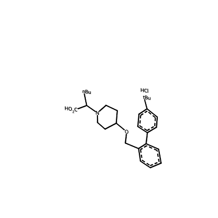 CCCCC(C(=O)O)N1CCC(OCc2ccccc2-c2ccc(C(C)(C)C)cc2)CC1.Cl